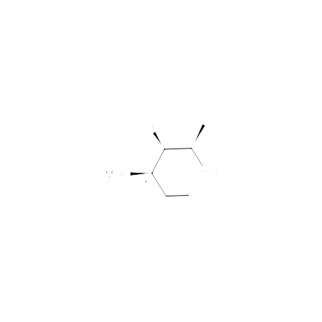 CO[C@H](CC=O)[C@@H](O)[C@@H](C)O